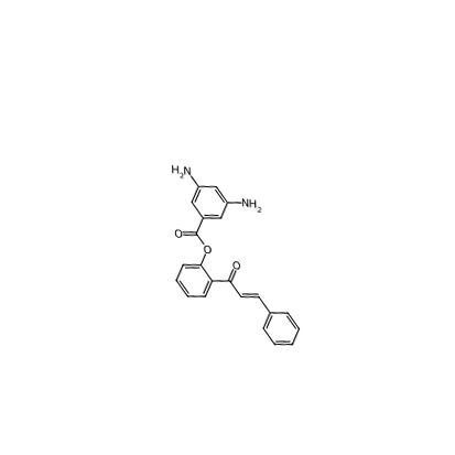 Nc1cc(N)cc(C(=O)Oc2ccccc2C(=O)C=Cc2ccccc2)c1